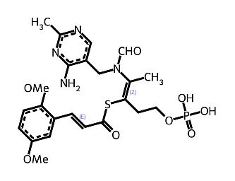 COc1ccc(OC)c(/C=C/C(=O)S/C(CCOP(=O)(O)O)=C(/C)N(C=O)Cc2cnc(C)nc2N)c1